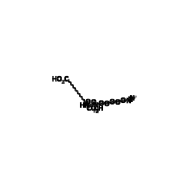 [N-]=[N+]=NCCOCCOCCOCCOCCOCCNC(=O)CC[C@H](NC(=O)CCCCCCCCCCCCCCCCC(=O)O)C(=O)O